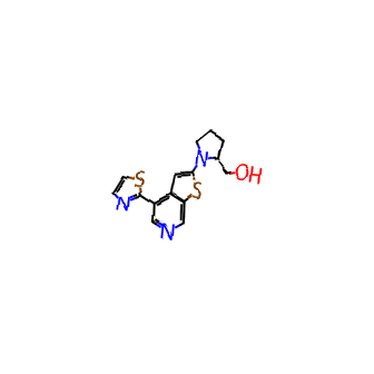 OC[C@@H]1CCCN1c1cc2c(-c3nccs3)cncc2s1